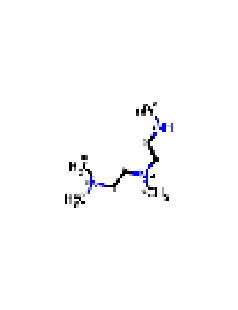 CCCNCCN(C)CCN(C)C